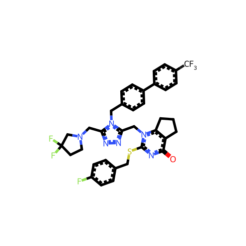 O=c1nc(SCc2ccc(F)cc2)n(Cc2nnc(CN3CCC(F)(F)C3)n2Cc2ccc(-c3ccc(C(F)(F)F)cc3)cc2)c2c1CCC2